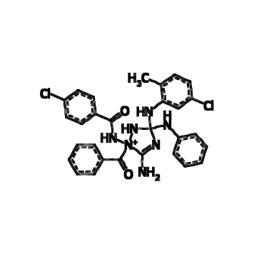 Cc1ccc(Cl)cc1NC1(Nc2ccccc2)N=C(N)[N+](NC(=O)c2ccc(Cl)cc2)(C(=O)c2ccccc2)N1